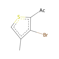 CC(=O)c1scc(C)c1Br